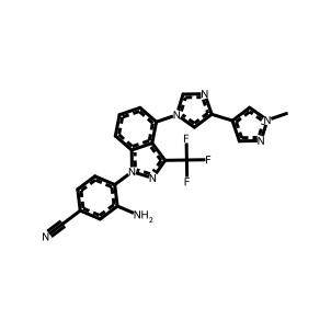 Cn1cc(-c2cn(-c3cccc4c3c(C(F)(F)F)nn4-c3ccc(C#N)cc3N)cn2)cn1